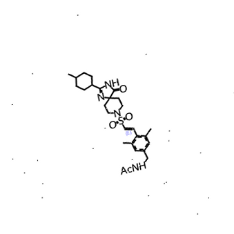 CC(=O)NCc1cc(C)c(/C=C/S(=O)(=O)N2CCC3(CC2)N=C(C2CCC(C)CC2)NC3=O)c(C)c1